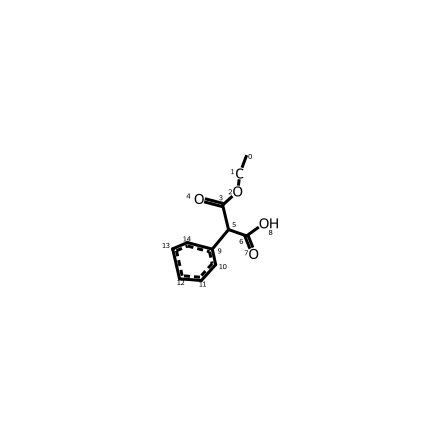 CCOC(=O)C(C(=O)O)c1ccccc1